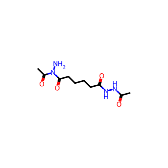 CC(=O)NNC(=O)CCCCC(=O)N(N)C(C)=O